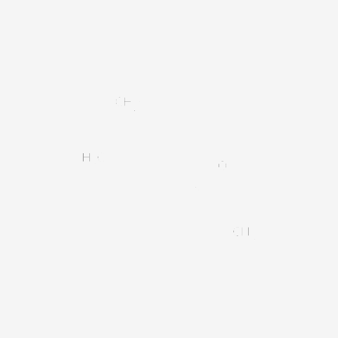 [CH2]C(C)CCC(=O)CC